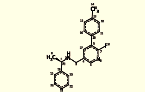 C[C@@H](NCc1cnc(F)c(-c2ccc(C(F)(F)F)cc2)c1)c1ccccc1